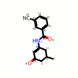 CC1CC(=O)C=C(NC(=O)c2cccc(C#N)c2)C1